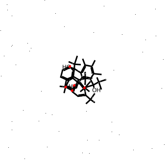 Cc1c(C)c(C(O)(c2ccccc2C(C)(C)C)C(C)(C)C)c(C(O)(c2ccccc2C(C)(C)C)C(C)(C)C)c(C(O)(c2ccccc2C(C)(C)C)C(C)(C)C)c1C